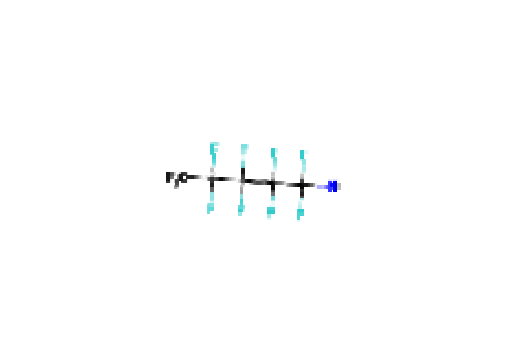 [N]C(F)(F)C(F)(F)C(F)(F)C(F)(F)C(F)(F)F